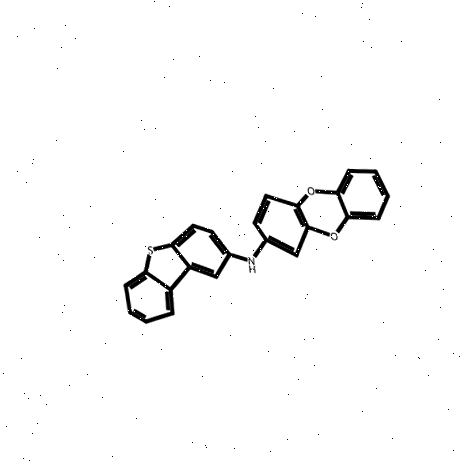 c1ccc2c(c1)Oc1ccc(Nc3ccc4sc5ccccc5c4c3)cc1O2